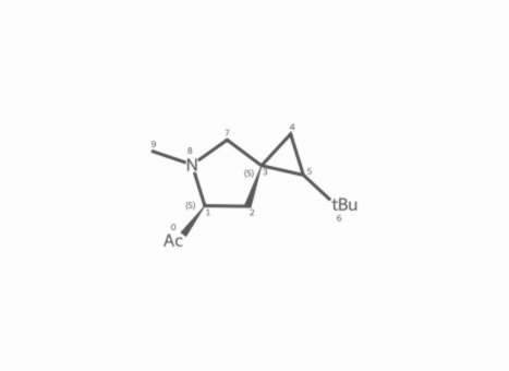 CC(=O)[C@@H]1C[C@]2(CC2C(C)(C)C)CN1C